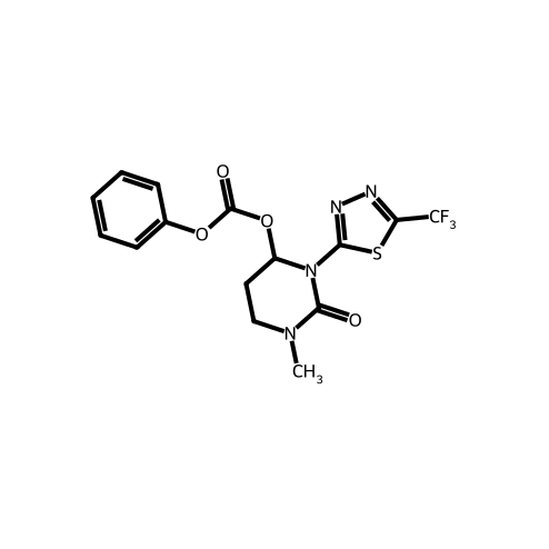 CN1CCC(OC(=O)Oc2ccccc2)N(c2nnc(C(F)(F)F)s2)C1=O